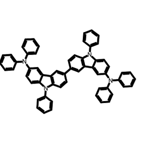 c1ccc(N(c2ccccc2)c2ccc3c(c2)c2cc(-c4ccc5c(c4)c4cc(N(c6ccccc6)c6ccccc6)ccc4n5-c4ccccc4)ccc2n3-c2ccccc2)cc1